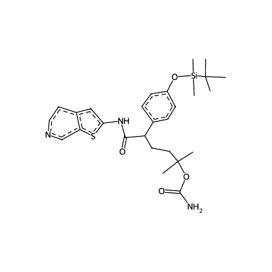 CC(C)(CCC(C(=O)Nc1cc2ccncc2s1)c1ccc(O[Si](C)(C)C(C)(C)C)cc1)OC(N)=O